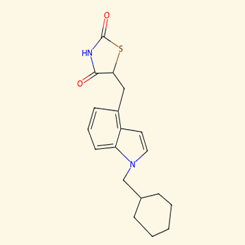 O=C1NC(=O)C(Cc2cccc3c2ccn3CC2CCCCC2)S1